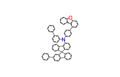 c1ccc(-c2cccc(N(c3ccc(-c4cccc5oc6ccccc6c45)cc3)c3cccc4c3-c3ccccc3C43c4ccccc4-c4ccc(-c5ccccc5)cc43)c2)cc1